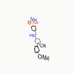 COc1cccc([C@]2(C#N)CC[C@H](NCc3ccc(S(N)(=O)=O)cc3)CC2)c1